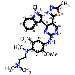 COc1cc(N(C)CCN(C)C)c([N+](=O)[O-])cc1Nc1ncc(-c2nnc(C)s2)c(-c2cn(C)c3ccccc23)n1